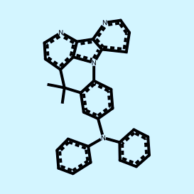 CC1(C)c2cc(N(c3ccccc3)c3ccccc3)ccc2-n2c3cccnc3c3nccc1c32